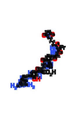 CC(C)[C@H](NC(=O)CCCCCN1C(=O)C=CC1=O)C(=O)N[C@@H](C)C(=O)Nc1ccc(C(=O)NCCC[C@H](NC(=O)c2ccc(NCc3cnc4nc(N)nc(N)c4n3)c(O)c2)C(=O)O)c(-c2nn[nH]n2)c1